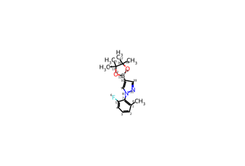 Cc1cccc(F)c1-n1cc(B2OC(C)(C)C(C)(C)O2)cn1